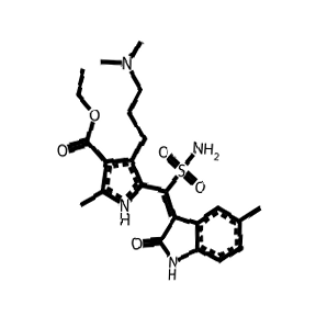 CCOC(=O)c1c(C)[nH]c(C(=C2C(=O)Nc3ccc(C)cc32)S(N)(=O)=O)c1CCCN(C)C